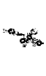 COc1ccccc1Oc1c(NS(=O)(=O)c2ccc(C)cn2)nc(N2CCOCC2)nc1OCC#CCOc1ncc(Br)cn1